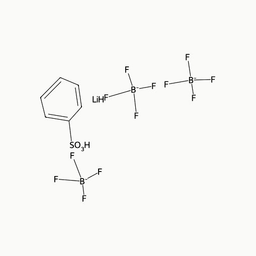 F[B-](F)(F)F.F[B-](F)(F)F.F[B-](F)(F)F.O=S(=O)(O)c1ccccc1.[LiH]